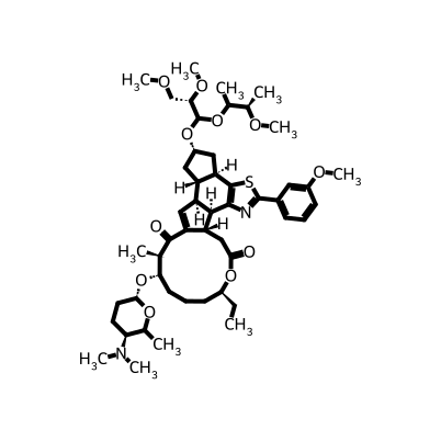 CC[C@H]1CCC[C@H](O[C@H]2CC[C@H](N(C)C)C(C)O2)[C@@H](C)C(=O)C2=C[C@H]3[C@@H]4C[C@H](OC(OC(C)[C@@H](C)OC)[C@H](COC)OC)C[C@H]4c4sc(-c5cccc(OC)c5)nc4[C@H]3[C@@H]2CC(=O)O1